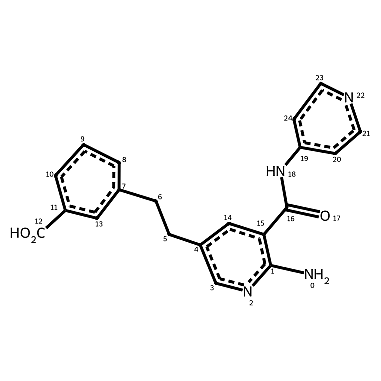 Nc1ncc(CCc2cccc(C(=O)O)c2)cc1C(=O)Nc1ccncc1